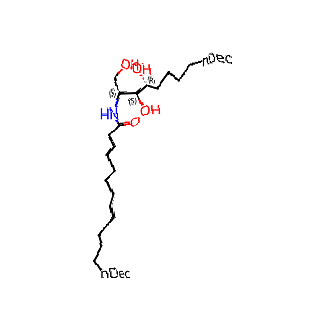 CCCCCCCCCCCCCCCCCCCCCC(=O)N[C@@H](CO)[C@H](O)[C@H](O)CCCCCCCCCCCCCC